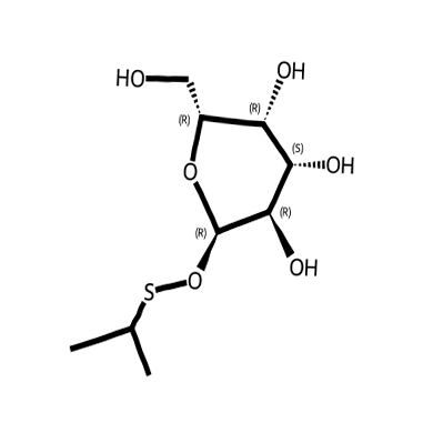 CC(C)SO[C@H]1O[C@H](CO)[C@H](O)[C@H](O)[C@H]1O